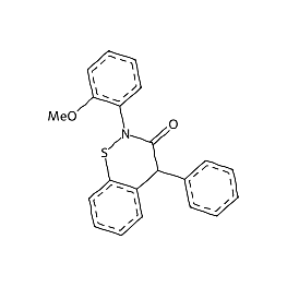 COc1ccccc1N1Sc2ccccc2C(c2ccccc2)C1=O